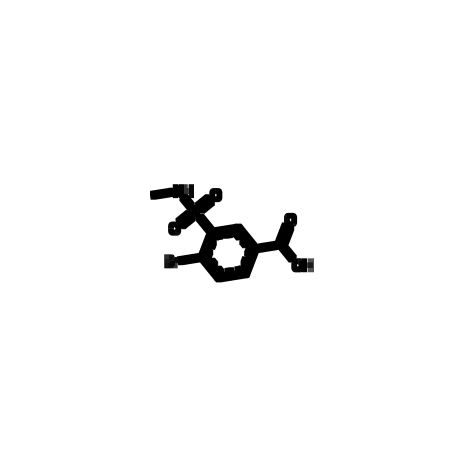 CNS(=O)(=O)c1cc(C(=O)O)ccc1Br